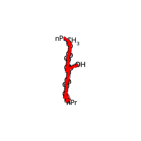 CCC/C=C/CC(C)c1ccc(OCCCCCCOC(=O)CCC(=O)OCCCCCCOc2ccc(OCCCCCCOC(=O)CCC(=O)OCCCCCCOc3ccc(C4CCC(CCC)CC4)cc3)cc2C(=O)OCCCCCCO)cc1